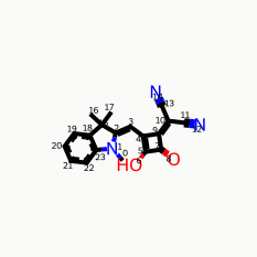 CN1C(=CC2=C(O)C(=O)C2=C(C#N)C#N)C(C)(C)c2ccccc21